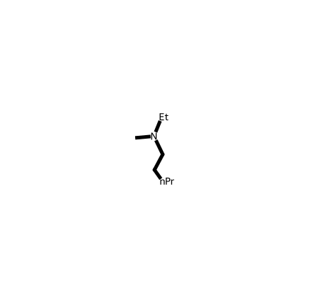 [CH2]CN(C)CCCCC